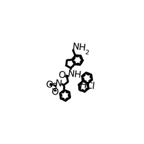 Cl.NCc1cccc2c1CCC2NC(=O)CC(N=S(=O)=O)c1ccccc1.c1ccc2ccccc2c1